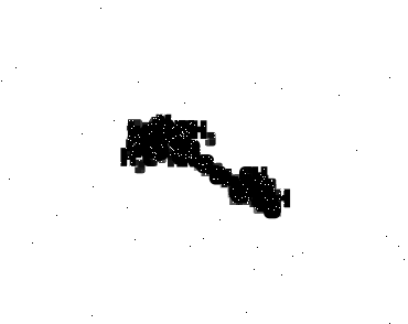 Cc1cc(S(=O)(=O)NCCOCCOCCCc2cccc3c2n(C)c(=O)n3C2CCC(=O)NC2=O)ccc1Nc1ncc2cc(C(F)F)c(=O)n([C@@H]3CCC[C@@]3(C)O)c2n1